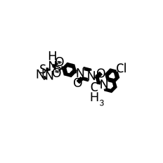 C[C@@H](C(=O)N1CCN(c2ccc(S(=O)(=O)Nc3ncns3)cc2)C(=O)C1)N1CCCc2cc(Cl)ccc21